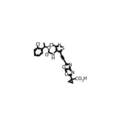 CC(OC(=O)Nc1c(Cl)nsc1C#Cc1nc2nc(C3(C(=O)O)CC3)oc2o1)c1ccccc1Cl